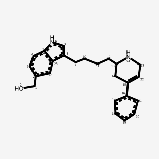 OCc1ccc2[nH]cc(CCCCC3CC(c4ccccc4)=CCN3)c2c1